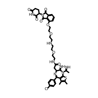 CC(=N)N1C(=N)C(CC(=O)NCCOCCNCCOCCOc2cccc3c2C(=O)N(C2CCC(=O)NC2=O)C3=O)N=C(c2ccc(Cl)cc2)c2c1sc(C)c2C